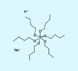 CCCC[O][Ti-2]([O]CCCC)([O]CCCC)([O]CCCC)([O]CCCC)[O]CCCC.[H+].[Na+]